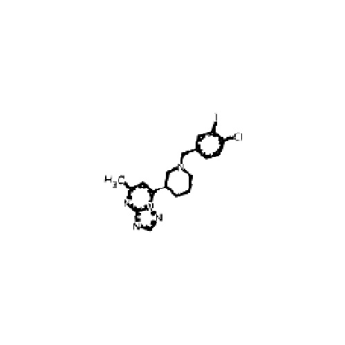 Cc1cc([C@@H]2CCCN(Cc3ccc(Cl)c(I)c3)C2)n2ncnc2n1